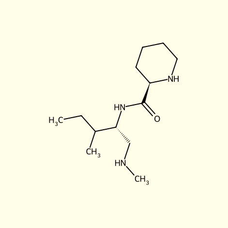 CCC(C)[C@@H](CNC)NC(=O)[C@H]1CCCCN1